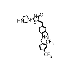 O=C1N=C(N2CCNCC2)S/C1=C\c1ccc2c(cnn2Cc2ccc(C(F)(F)F)cc2C(F)(F)F)c1